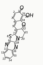 O=C1C=CC2=CC3=C4Sc5nc6ccccc6nc5N4CCC3OC2=C1O